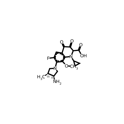 COc1c(N2C[C@@H](N)[C@@H](C)C2)c(F)cc2c1N(C1CC1)C(C(=O)O)C(=O)C2=O